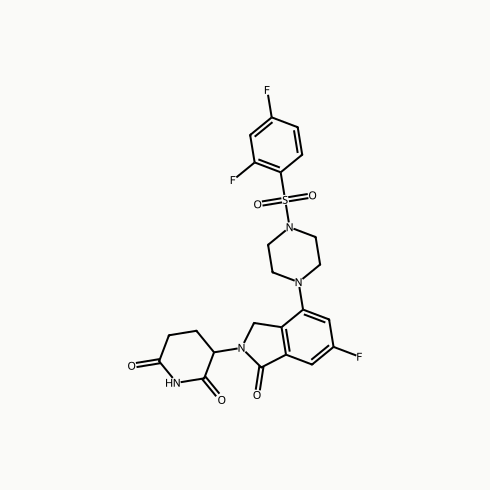 O=C1CCC(N2Cc3c(cc(F)cc3N3CCN(S(=O)(=O)c4ccc(F)cc4F)CC3)C2=O)C(=O)N1